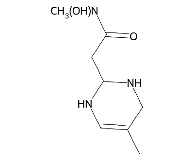 CC1=CNC(CC(=O)N(C)O)NC1